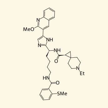 CCN1CCC2(CC1)C[C@@H]2C(=O)N[C@@H](CCCCNC(=O)c1ccccc1SC)c1ncc(-c2cc3ccccc3nc2OC)[nH]1